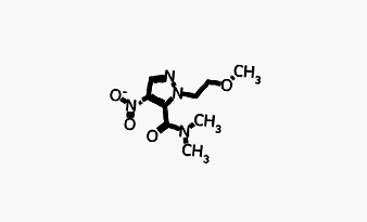 COCCn1ncc([N+](=O)[O-])c1C(=O)N(C)C